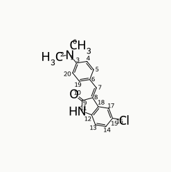 CN(C)c1ccc(C=C2C(=O)Nc3ccc(Cl)cc32)cc1